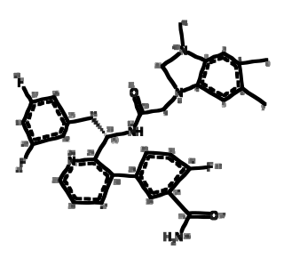 Cc1cc2c(cc1C)N(CC(=O)N[C@@H](Cc1cc(F)cc(F)c1)c1ncccc1-c1ccc(F)c(C(N)=O)c1)CN2C